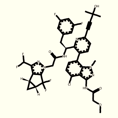 COCC(=O)Nc1nn(C)c2c(-c3ccc(C#CC(C)(C)O)nc3[C@H](Cc3cc(F)cc(F)c3)NC(=O)Cn3nc(C(F)F)c4c3C(F)(F)[C@@H]3C[C@H]43)ccc(Cl)c12